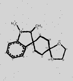 CC1N(C)c2ccccc2C12CCC1(CC2)OCCO1